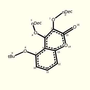 CCCCCCCCCCOc1c(OCCCCCCCCCC)c2c(OC(C)(C)C)cccc2oc1=O